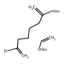 C=C(CC)CCCCC(=C)CCCCCC.C=CCCCCCC